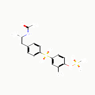 Cc1cc(S(=O)(=O)c2ccc(C[C@@H](C)NC(=O)C(F)(F)F)cc2)ccc1OS(=O)(=O)C(F)(F)F